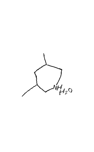 CC1CNCC(C)C1.O